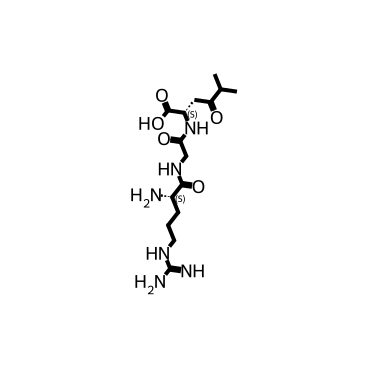 CC(C)C(=O)C[C@H](NC(=O)CNC(=O)[C@@H](N)CCCNC(=N)N)C(=O)O